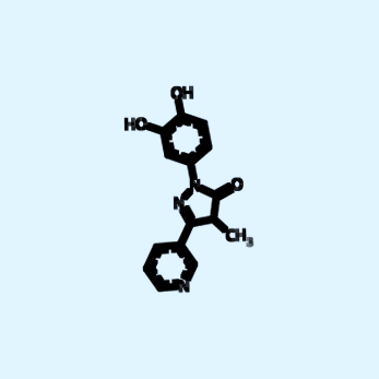 CC1C(=O)N(c2ccc(O)c(O)c2)N=C1c1cccnc1